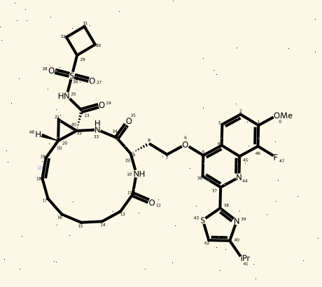 COc1ccc2c(OCC[C@@H]3NC(=O)CCCCC/C=C\[C@@H]4C[C@@]4(C(=O)NS(=O)(=O)C4CCC4)NC3=O)cc(-c3nc(C(C)C)cs3)nc2c1F